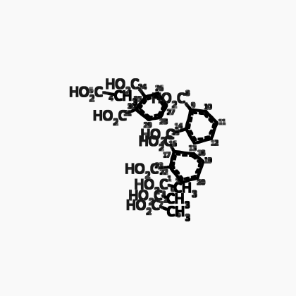 CC(=O)O.CC(=O)O.CC(=O)O.CC(=O)O.O=C(O)c1ccccc1C(=O)O.O=C(O)c1ccccc1C(=O)O.O=C(O)c1ccccc1C(=O)O